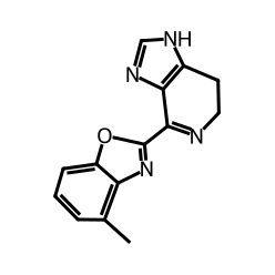 Cc1cccc2oc(C3=NCCc4[nH]cnc43)nc12